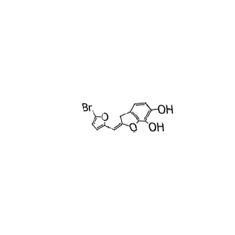 Oc1ccc2c(c1O)OC(=Cc1ccc(Br)o1)C2